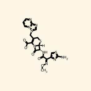 CO/N=C(\C(=O)N[C@@H]1C(=O)N2C(C(=O)[O-])=C(Cn3cnc4nccc[n+]43)CS[C@H]12)c1csc(N)n1